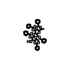 CCSC1OC(COCc2ccccc2)C(OC2OC3COC(c4ccccc4)OC3C(O)C2OC(=O)c2ccccc2)C(OC(=O)c2ccccc2)C1OC(=O)c1ccccc1